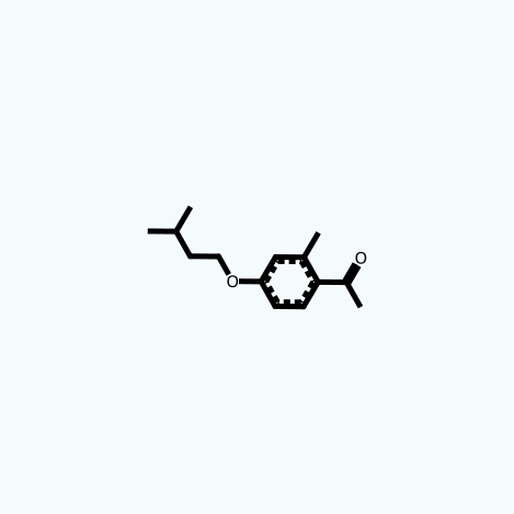 CC(=O)c1ccc(OCCC(C)C)cc1C